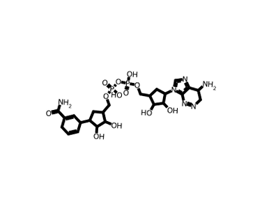 NC(=O)C1=CC(C2CC(COP(=O)(O)OP(=O)(O)OCC3CC(n4cnc5c4N=NCC5N)C(O)C3O)C(O)C2O)C=CC1